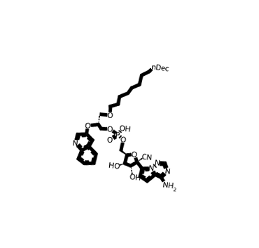 CCCCCCCCCCCCCCCCCCOC[C@H](COP(=O)(O)OC[C@H]1O[C@@](C#N)(c2ccc3c(N)ncnn23)[C@H](O)[C@@H]1O)Oc1cnc2ccccc2c1